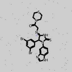 O=C(C/N=C1\NC(=S)N(c2ccc3[nH]cnc3c2)C1c1cc(Br)cc(Br)c1)N1CCSCC1